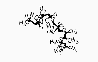 CCCCC(CC)(COC(C)C(C)OC(C)(N)CC(C)N)COC(C)(CC)CC(C)OC(C)(CC)CC(C)N